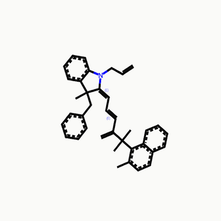 C=CCN1/C(=C/C=C/C(=C)C(C)(C)c2c(C)ccc3ccccc23)C(C)(Cc2ccccc2)c2ccccc21